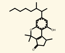 CCCCCC(C)C(C)c1cc(O)c2c(c1)OC(C)(C)C1=C2C(C)CC1=O